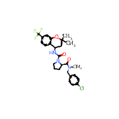 CN(Cc1ccc(Cl)cc1)C(=O)C1CCCN1C(=O)NC1CC(C)(C)Oc2cc(C(F)(F)F)ccc21